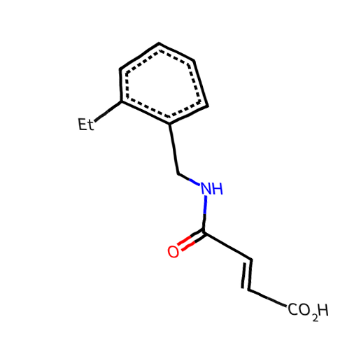 CCc1ccccc1CNC(=O)/C=C/C(=O)O